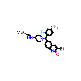 CCc1cc2cc(C(c3ccc(C(F)(F)F)cc3F)N3CCC(NCCOC)CC3)ccc2[nH]c1=O